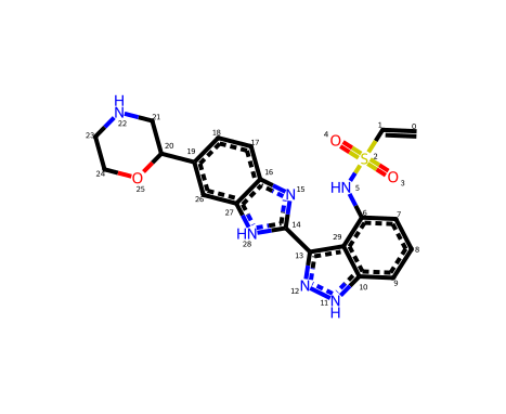 C=CS(=O)(=O)Nc1cccc2[nH]nc(-c3nc4ccc(C5CNCCO5)cc4[nH]3)c12